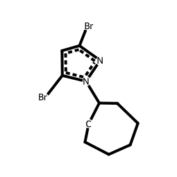 Brc1cc(Br)n(C2CCCCCC2)n1